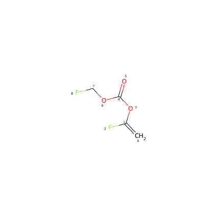 C=C(F)OC(=O)OCF